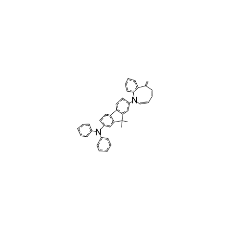 C=C1/C=C\C=C/N(c2ccc3c(c2)C(C)(C)c2cc(N(c4ccccc4)c4ccccc4)ccc2-3)c2ccccc21